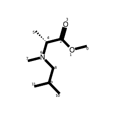 COC(=O)[C@@H](C)N(C)CC(C)C